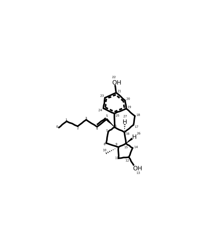 CCCCC=C[C@]12CC[C@]3(C)CC(O)C[C@H]3[C@@H]1CCc1cc(O)ccc12